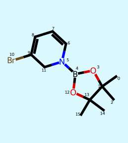 CC1(C)OB(N2C=CC=C(Br)C2)OC1(C)C